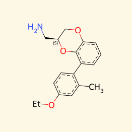 CCOc1ccc(-c2cccc3c2O[C@@H](CN)CO3)c(C)c1